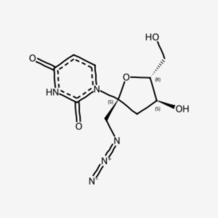 [N-]=[N+]=NC[C@]1(n2ccc(=O)[nH]c2=O)C[C@H](O)[C@@H](CO)O1